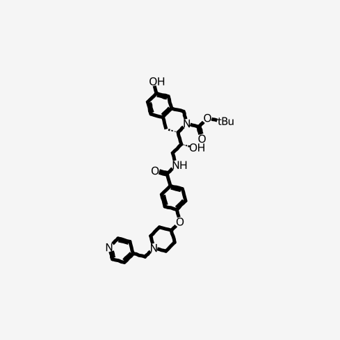 CC(C)(C)OC(=O)N1Cc2cc(O)ccc2C[C@H]1[C@H](O)CNC(=O)c1ccc(OC2CCN(Cc3ccncc3)CC2)cc1